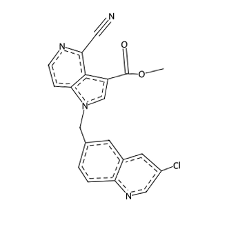 COC(=O)c1cn(Cc2ccc3ncc(Cl)cc3c2)c2ccnc(C#N)c12